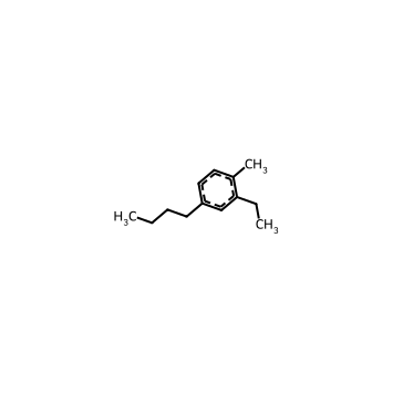 CCCCc1ccc(C)c(CC)c1